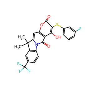 CC1(C)c2cc(C(F)(F)F)ccc2-n2c1cc1oc(=O)c(Sc3cccc(F)c3)c(O)c1c2=O